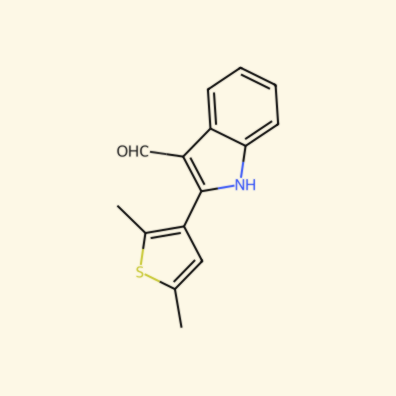 Cc1cc(-c2[nH]c3ccccc3c2C=O)c(C)s1